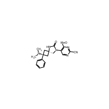 COc1nc(C#N)ncc1N1C[C@]2(C[C@](c3ccccc3)(N(C)C)C2)NC1=O